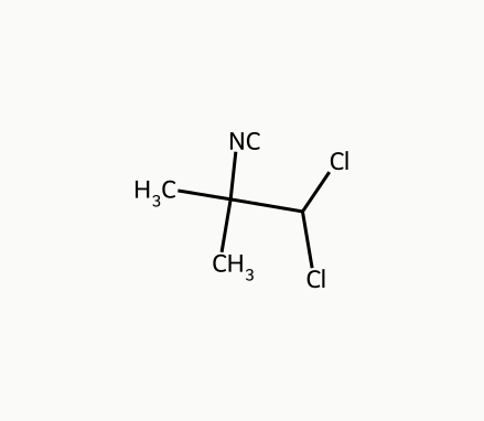 [C-]#[N+]C(C)(C)C(Cl)Cl